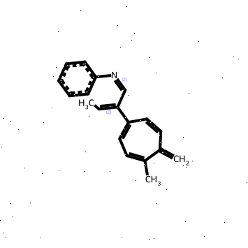 C=C1C=CC(C(/C=N\c2ccccc2)=C/C)=CC=C1C